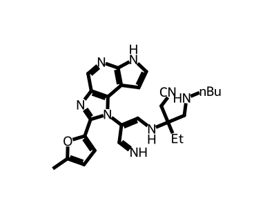 CCCCNCC(CC)(CC#N)N/C=C(\C=N)n1c(-c2ccc(C)o2)nc2cnc3[nH]ccc3c21